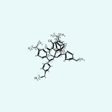 CCc1ccc(/C(=C/C2(/C=C(/c3ccc(CC)cc3)c3ccc(N(C)C)cc3)OC(=O)c3c(Cl)c(Cl)c(Cl)c(Cl)c32)c2ccc(N(C)C)cc2)cc1